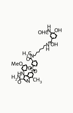 COc1cccc(Nc2c(C(N)=O)cnc3c(C)cc(S(=O)(=O)c4cccc(C(=O)N(C)CCCCCCNC[C@H](O)c5ccc(O)c(NC=O)c5)c4)cc23)c1